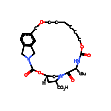 CC(C)(C)[C@@H]1NC(=O)OCCCCCCOCc2ccc3c(c2)CN(C3)C(=O)O[C@@H]2CC(C(=O)O)N(C2)C1=O